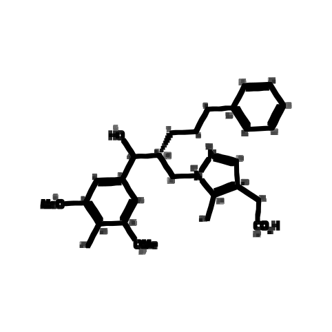 COc1cc(C(O)[C@H](CCCc2ccccc2)Cn2ncc(CC(=O)O)c2C)cc(OC)c1C